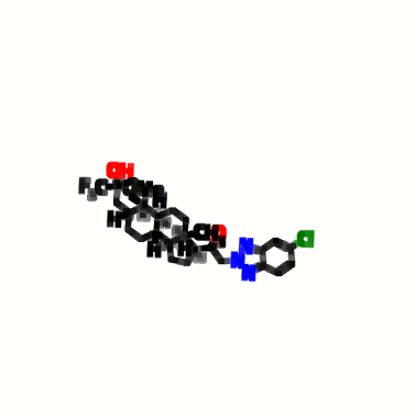 COC[C@]12CC[C@](O)(C(F)(F)F)C[C@H]1CC[C@H]1[C@@H]3CC[C@H](C(=O)Cn4nc5ccc(Cl)cc5n4)[C@@]3(C)CC[C@@H]12